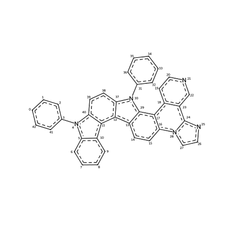 c1ccc(-n2c3ccccc3c3c4c5ccc6c(c7ccncc7c7nccn67)c5n(-c5ccccc5)c4ccc32)cc1